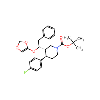 CC(C)(C)OC(=O)N1CC[C@@H](c2ccc(F)cc2)[C@H](C(Cc2ccccc2)OC2=COCO2)C1